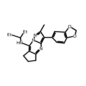 CCC(CC)Nc1c2c(nc3c(-c4ccc5c(c4)OCO5)c(C)nn13)CCC2